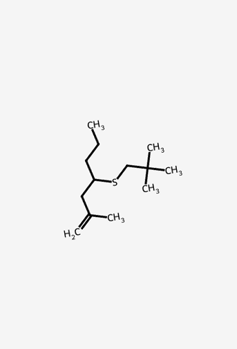 C=C(C)CC(CCC)SCC(C)(C)C